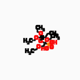 CCC[Si](OCC)(OCC)OC(COCC)(OCC)P(=O)(O)O